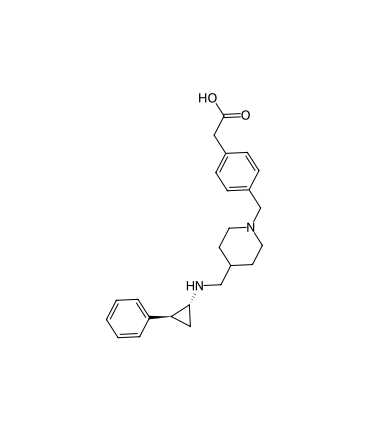 O=C(O)Cc1ccc(CN2CCC(CN[C@@H]3C[C@H]3c3ccccc3)CC2)cc1